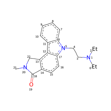 CCN(CC)CCn1c2ccccc2c2c3c(ccc21)C(=O)N(C)C3